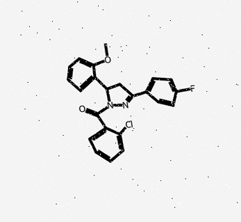 COc1ccccc1C1CC(c2ccc(F)cc2)=NN1C(=O)c1ccccc1Cl